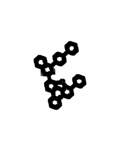 c1ccc(-c2ccc(-c3nc(-c4ccc5c6ccccc6c6ccc(-c7ccccc7)c7oc4c5c76)nc4ccccc34)cc2)cc1